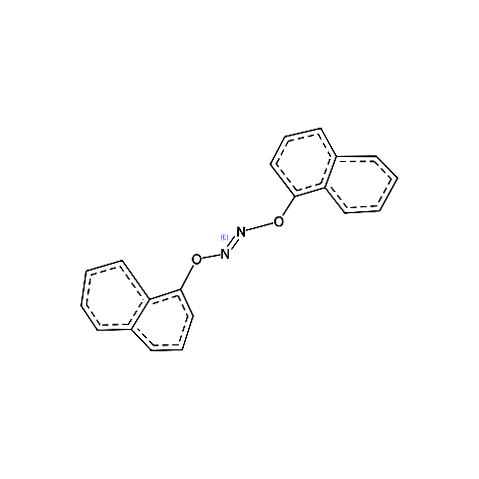 c1ccc2c(O/N=N/Oc3cccc4ccccc34)cccc2c1